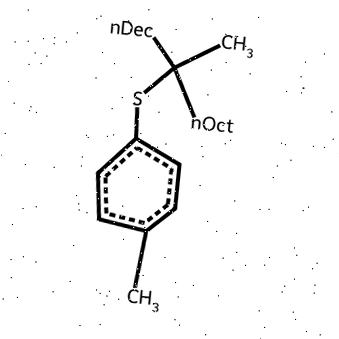 CCCCCCCCCCC(C)(CCCCCCCC)Sc1ccc(C)cc1